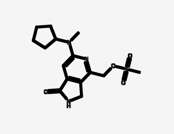 CN(c1cc2c(c(COS(C)(=O)=O)n1)CNC2=O)C1CCCC1